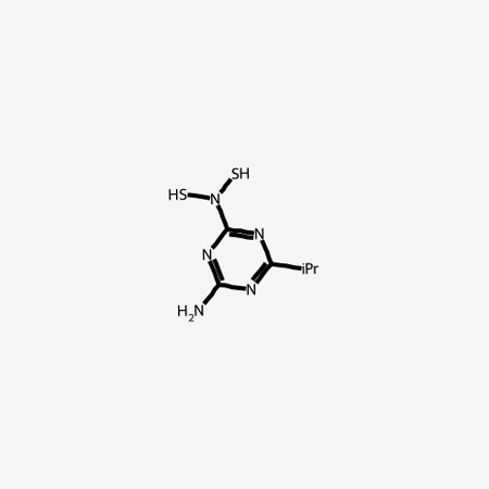 CC(C)c1nc(N)nc(N(S)S)n1